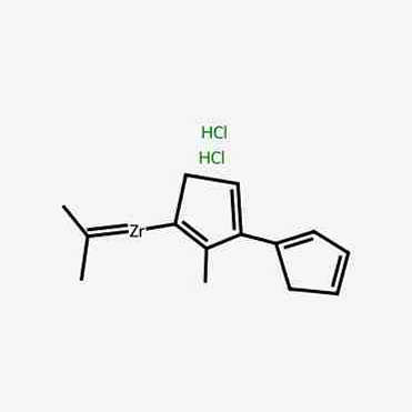 C[C](C)=[Zr][C]1=C(C)C(C2=CC=CC2)=CC1.Cl.Cl